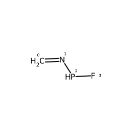 C=NPF